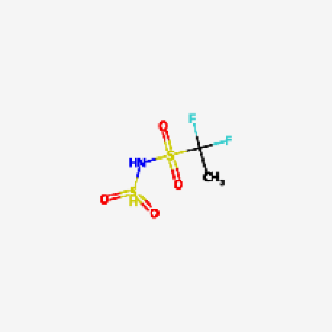 CC(F)(F)S(=O)(=O)N[SH](=O)=O